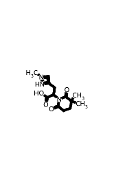 Cn1cc(CC(C(=O)O)N2C(=O)CCC(C)(C)C2=O)[nH]1